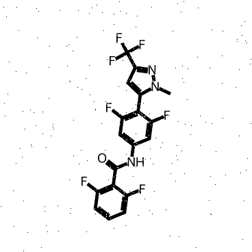 Cn1nc(C(F)(F)F)cc1-c1c(F)cc(NC(=O)c2c(F)cccc2F)cc1F